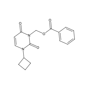 O=C(OCn1c(=O)ccn(C2CCC2)c1=O)c1ccccc1